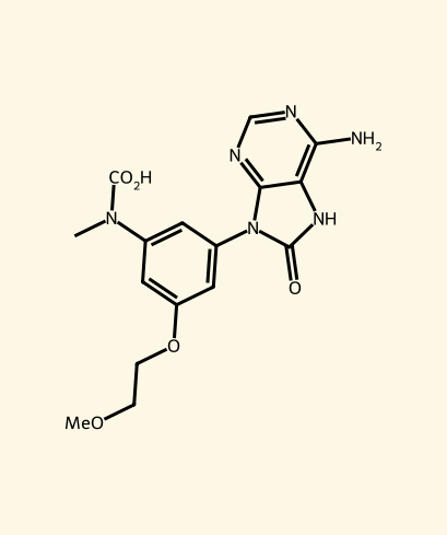 COCCOc1cc(N(C)C(=O)O)cc(-n2c(=O)[nH]c3c(N)ncnc32)c1